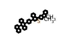 CC1(C)c2ccccc2-c2cc3c(cc21)sc1cc(-c2ccc(-c4c5ccccc5c(-c5cccc6ccccc56)c5ccccc45)cc2)c2ccccc2c13